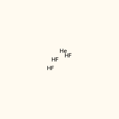 F.F.F.[He]